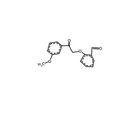 COc1cccc(C(=O)COc2ccccc2[C]=O)c1